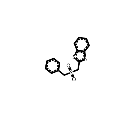 O=S(=O)(Cc1ccccc1)Cc1nc2ccccc2s1